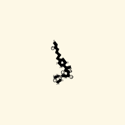 C=CC(=O)CCCCc1ccc(-c2csc3c(=O)cc(N4CCOCC4)oc23)cc1